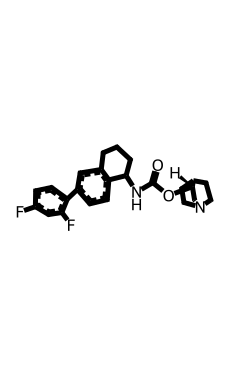 O=C(NC1CCCc2cc(-c3ccc(F)cc3F)ccc21)O[C@H]1CN2CCC1CC2